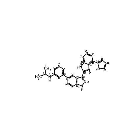 CC(C)Nc1cncc(-c2ccc3[nH]nc(-c4nc5c(-c6cccs6)cncc5[nH]4)c3c2)c1